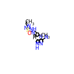 CCc1nsc(NC(=O)N2CC3C[C@@H](N(C)c4c(C#N)cnc5[nH]ccc45)C[C@@H]3C2)n1